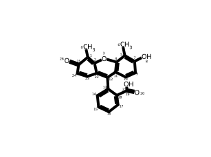 Cc1c2oc3c(C)c(O)ccc3c(-c3ccccc3C(=O)O)c-2ccc1=O